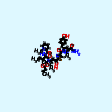 CCCC(=O)OCN(C(=O)[C@@H](NC(=O)[C@H]1CCCCN1C)C(C)CC)[C@@H](C)C[C@@H](O)c1nc(C(=O)N[C@@H](Cc2ccc(O)cc2)C[C@H](C)C(N)=O)cs1